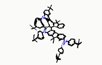 CC(C)(C)c1ccc(N2B3c4cc(C(C)(C)C)ccc4-n4c5ccc(C(C)(C)C)cc5c5c6c(c(c3c54)-c3cc4c(cc32)C(C)(C)c2cc(N(c3ccc(C(C)(C)C)cc3)c3ccc(C(C)(C)C)cc3)ccc2-4)-c2ccccc2C6(C)C)cc1